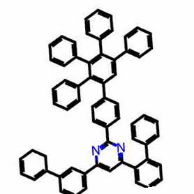 C1=CCCC(c2cccc(-c3cc(-c4ccccc4-c4ccccc4)nc(-c4ccc(-c5cc(-c6ccccc6)c(-c6ccccc6)c(-c6ccccc6)c5-c5ccccc5)cc4)n3)c2)=C1